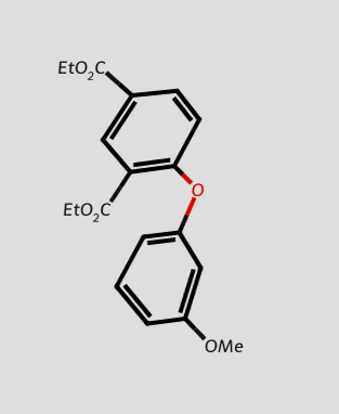 CCOC(=O)c1ccc(Oc2cccc(OC)c2)c(C(=O)OCC)c1